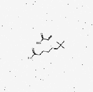 C=CC(=O)O.CC(C)(C)CCCCCC(=O)O